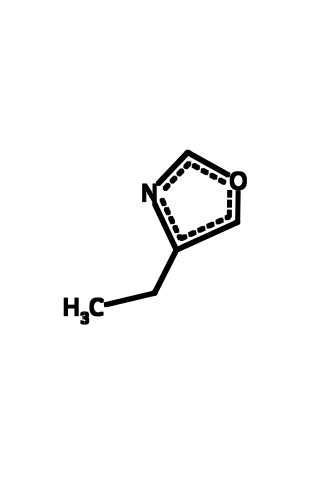 CCc1cocn1